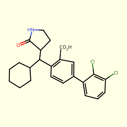 O=C(O)c1cc(-c2cccc(Cl)c2Cl)ccc1C(C1CCCCC1)C1CCNC1=O